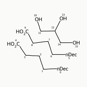 CCCCCCCCCCCCCC(=O)O.CCCCCCCCCCCCCC(=O)O.OCC(O)CO